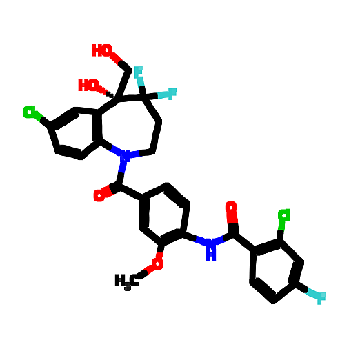 COc1cc(C(=O)N2CCC(F)(F)[C@](O)(CO)c3cc(Cl)ccc32)ccc1NC(=O)c1ccc(F)cc1Cl